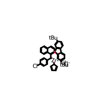 CC(C)(C)c1ccc2c(c1)Cc1c-2ccc(C(C)(C)C)[c]1[Zr+2](=[C](c1ccc(Cl)cc1)c1cccc2ccccc12)[CH]1C=CC=C1.[Cl-].[Cl-]